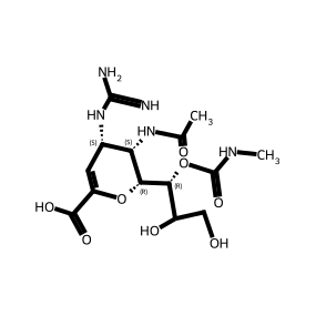 CNC(=O)O[C@H](C(O)CO)[C@@H]1OC(C(=O)O)=C[C@H](NC(=N)N)[C@@H]1NC(C)=O